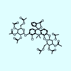 CC(=O)OC[C@H]1O[C@@H](Oc2ccc3c(c2Cl)[Si](C)(C)c2c(ccc(O[C@@H]4O[C@H](COC(C)=O)[C@H](OC(C)=O)[C@H](OC(C)=O)[C@H]4OC(C)=O)c2Cl)C32OC(=O)c3ccccc32)[C@H](OC(C)=O)[C@@H](OC(C)=O)[C@H]1OC(C)=O